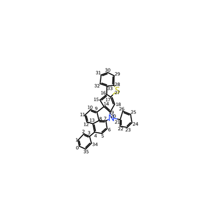 c1ccc(-c2ccc3c4c(cccc24)-c2cc4c(cc2N3c2ccccc2)sc2ccccc24)cc1